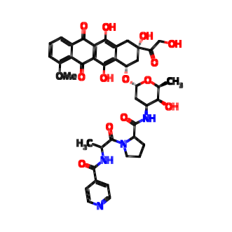 COc1cccc2c1C(=O)c1c(O)c3c(c(O)c1C2=O)C[C@@](O)(C(=O)CO)C[C@@H]3O[C@H]1C[C@H](NC(=O)C2CCCN2C(=O)C(C)NC(=O)c2ccncc2)[C@H](O)[C@H](C)O1